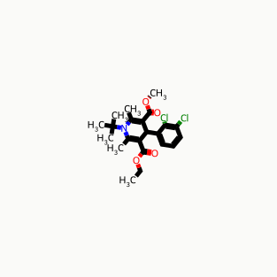 CCOC(=O)C1=C(C)N(C(C)(C)C)C(C)=C(C(=O)OC)C1c1cccc(Cl)c1Cl